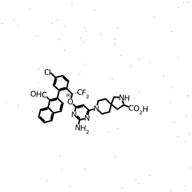 Nc1nc(O[C@H](c2ccc(Cl)cc2-c2ccc3ccccc3c2C=O)C(F)(F)F)cc(N2CCC3(CC2)CNC(C(=O)O)C3)n1